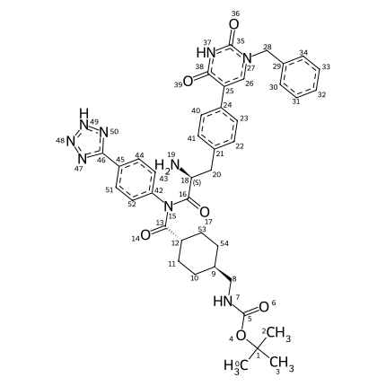 CC(C)(C)OC(=O)NC[C@H]1CC[C@H](C(=O)N(C(=O)[C@@H](N)Cc2ccc(-c3cn(Cc4ccccc4)c(=O)[nH]c3=O)cc2)c2ccc(-c3nn[nH]n3)cc2)CC1